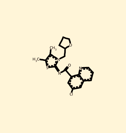 Cc1sc(=NC(=O)c2cc(Cl)cc3cccnc23)n(CC2CCCO2)c1C